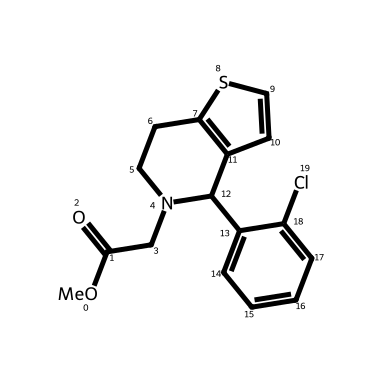 COC(=O)CN1CCc2sccc2C1c1ccccc1Cl